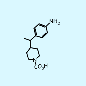 CC(c1ccc(N)cc1)C1CCN(C(=O)O)CC1